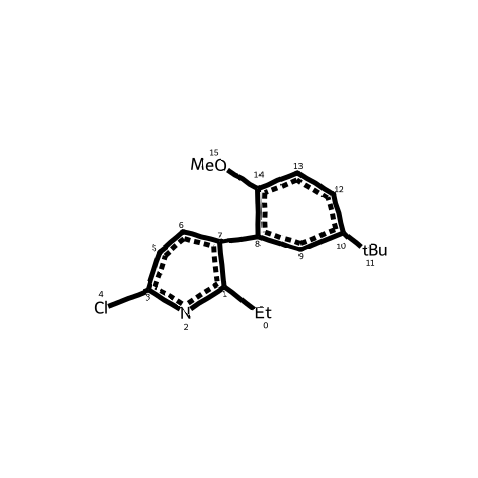 CCc1nc(Cl)ccc1-c1cc(C(C)(C)C)ccc1OC